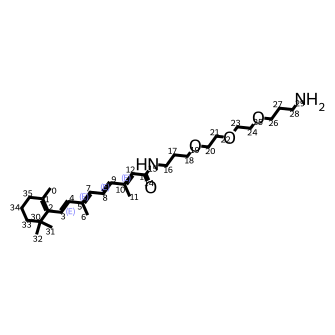 CC1=C(/C=C/C(C)=C/C=C/C(C)=C/C(=O)NCCCOCCOCCOCCCN)C(C)(C)CCC1